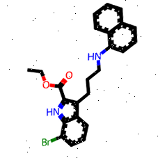 CCOC(=O)c1[nH]c2c(Br)cccc2c1CCCNc1cccc2ccccc12